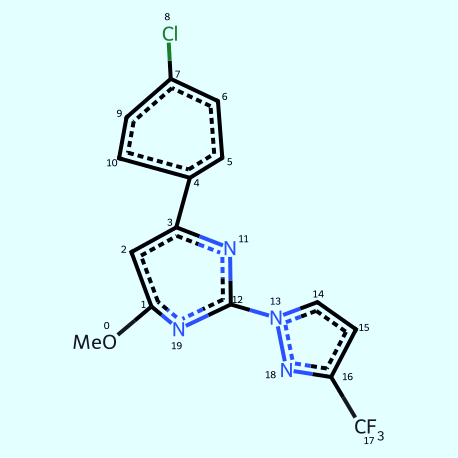 COc1cc(-c2ccc(Cl)cc2)nc(-n2ccc(C(F)(F)F)n2)n1